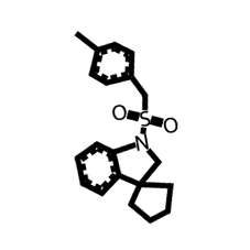 Cc1ccc(CS(=O)(=O)N2CC3(CCCC3)c3ccccc32)cc1